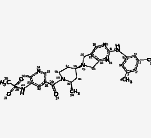 Cc1cc(C)cc(Nc2ncc3c(n2)CN([C@@H]2CCN(C(=O)c4cncc(NS(C)(=O)=O)c4)[C@H](C)C2)C3)c1